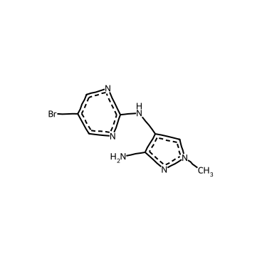 Cn1cc(Nc2ncc(Br)cn2)c(N)n1